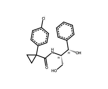 O=C(N[C@@H](CO)[C@@H](O)c1ccccc1)C1(c2ccc(Cl)cc2)CC1